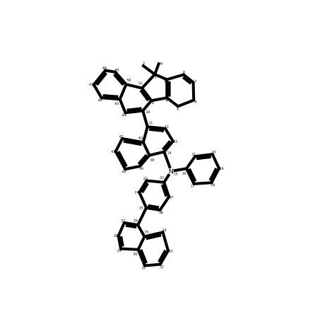 CC1(C)C2=C(CCC=C2)c2c(-c3ccc(N(c4ccccc4)c4ccc(-c5cccc6ccccc56)cc4)c4ccccc34)cc3ccccc3c21